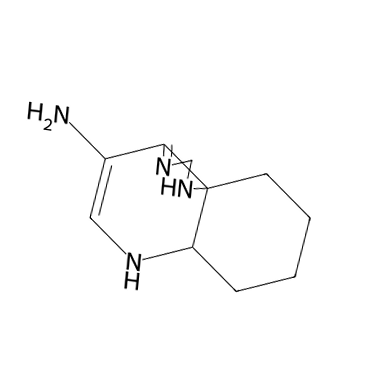 NC1=CNC2CCCCC23NCN=C13